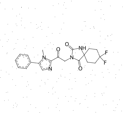 Cn1c(-c2ccccc2)cnc1C(=O)CN1C(=O)NC2(CCC(F)(F)CC2)C1=O